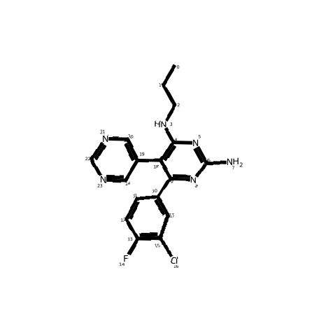 CCCNc1nc(N)nc(-c2ccc(F)c(Cl)c2)c1-c1cncnc1